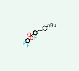 CCCCC1CCC(CCc2ccc(C(=O)Oc3ccc(F)c(F)c3)c(F)c2)CC1